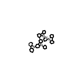 C1=Cc2c(c3ccccc3n2-c2ccc3c(c2)c2cc(-c4cccc5c6ccccc6n(-c6cccc(-n7c8ccccc8c8ccccc87)n6)c45)ccc2n3-c2ccccc2)CC1